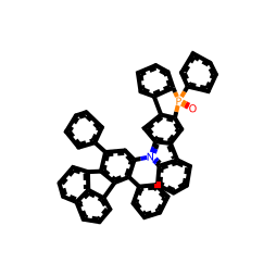 O=P1(c2ccccc2)c2ccccc2-c2cc3c(cc21)c1ccccc1n3-c1cc(-c2ccccc2)c2c(c1-c1ccccc1)-c1cccc3cccc-2c13